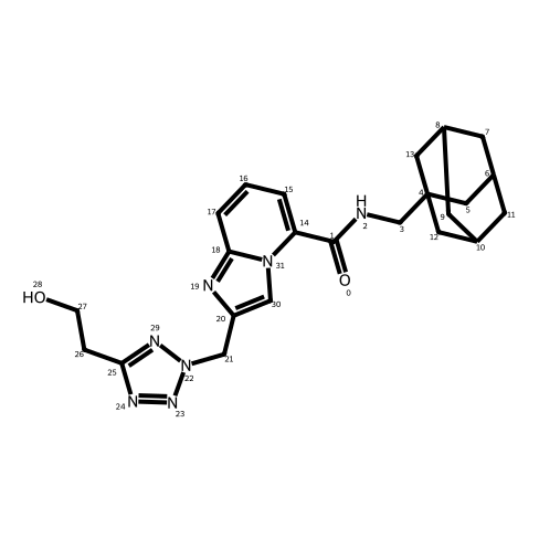 O=C(NCC12CC3CC(CC(C3)C1)C2)c1cccc2nc(Cn3nnc(CCO)n3)cn12